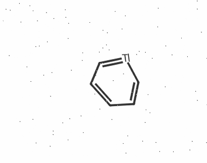 C1=C[CH]=[Tl][CH]=C1